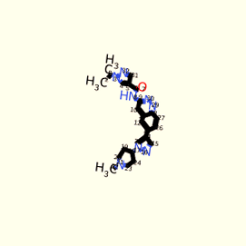 CC(C)n1cc(C(=O)Nc2cc3cc(-c4cnn(C5CCN(C)CC5)c4)ccc3nn2)cn1